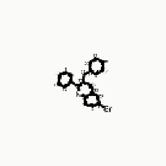 Brc1ccc2nc(-c3ccccc3)c(Cc3ccccc3)cc2c1